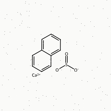 O=S([O-])[O-].[Ca+2].c1ccc2ccccc2c1